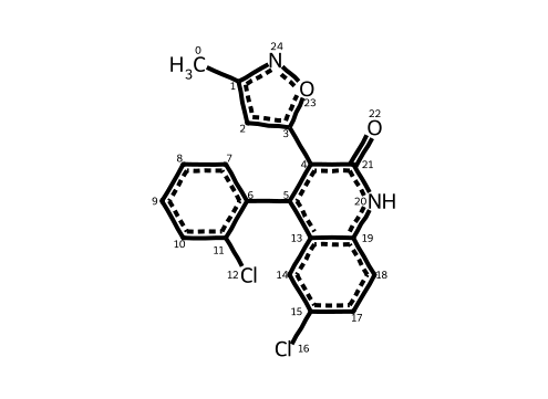 Cc1cc(-c2c(-c3ccccc3Cl)c3cc(Cl)ccc3[nH]c2=O)on1